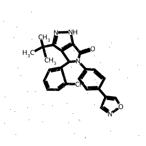 Cc1ccccc1C1c2c(C(C)(C)C)n[nH]c2C(=O)N1c1ccc(-c2cnoc2)cc1